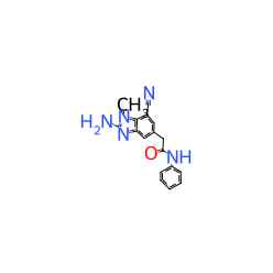 Cn1c(N)nc2cc(CC(=O)Nc3ccccc3)cc(C#N)c21